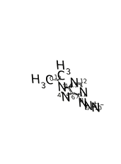 CC(C)n1cnc2c(N=[N+]=[N-])ncnc21